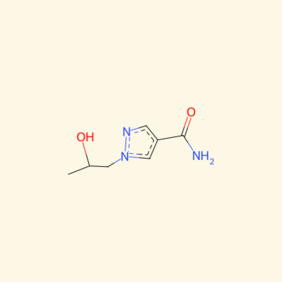 CC(O)Cn1cc(C(N)=O)cn1